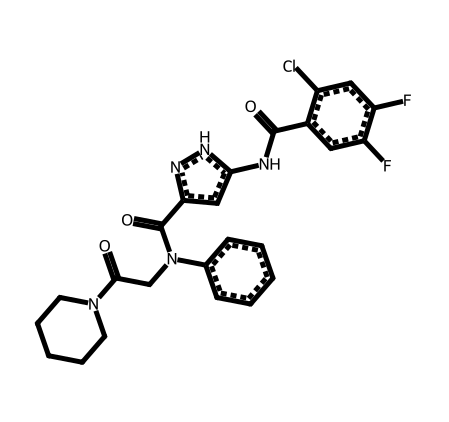 O=C(Nc1cc(C(=O)N(CC(=O)N2CCCCC2)c2ccccc2)n[nH]1)c1cc(F)c(F)cc1Cl